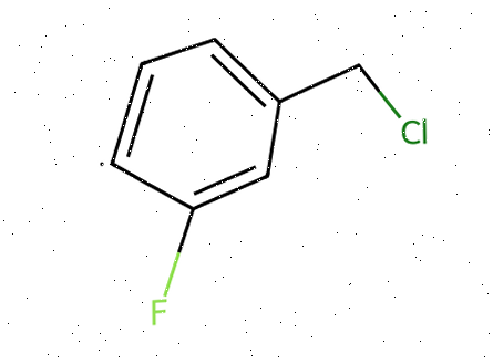 Fc1[c]ccc(CCl)c1